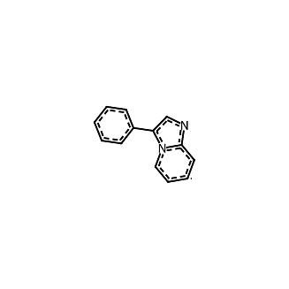 [c]1ccn2c(-c3ccccc3)cnc2c1